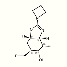 O[C@@H]1[C@@H](CF)C[C@@H]2OC(N3CCC3)=N[C@@H]2[C@@H]1F